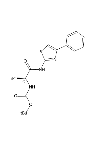 CC(C)[C@H](NC(=O)OC(C)(C)C)C(=O)Nc1nc(-c2ccccc2)cs1